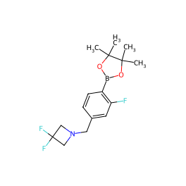 CC1(C)OB(c2ccc(CN3CC(F)(F)C3)cc2F)OC1(C)C